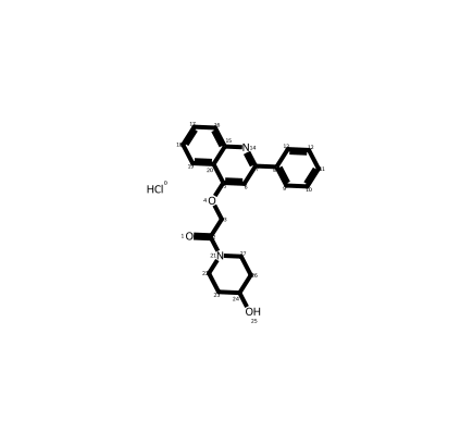 Cl.O=C(COc1cc(-c2ccccc2)nc2ccccc12)N1CCC(O)CC1